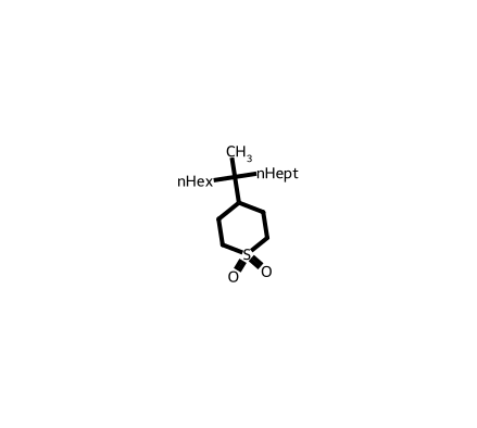 CCCCCCCC(C)(CCCCCC)C1CCS(=O)(=O)CC1